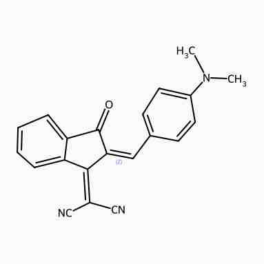 CN(C)c1ccc(/C=C2\C(=O)c3ccccc3C2=C(C#N)C#N)cc1